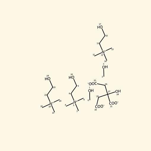 CO.CO.C[N+](C)(C)CCO.C[N+](C)(C)CCO.C[N+](C)(C)CCO.O=C([O-])CC(O)(CC(=O)[O-])C(=O)[O-]